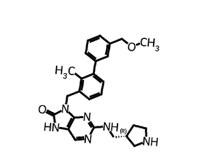 COCc1cccc(-c2cccc(Cn3c(=O)[nH]c4cnc(NC[C@@H]5CCNC5)nc43)c2C)c1